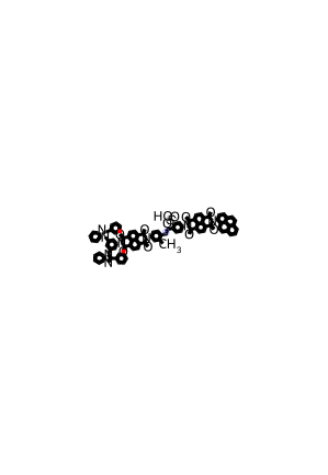 Cc1cc(N2C(=O)c3ccc4c5c(ccc(c35)C2=O)C(=O)N(c2cc(-n3c(-c5ccccc5)nc5ccccc53)cc(-n3c(-c5ccccc5)nc5ccccc53)c2)C4=O)ccc1/C=C/c1ccc(N2C(=O)c3ccc4c5c(ccc(c35)C2=O)C(=O)N(c2ccc3ccc5cccc6ccc2c3c56)C4=O)cc1S(=O)(=O)O